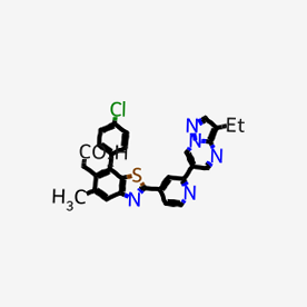 CCc1cnn2cc(-c3cc(-c4nc5cc(C)c(CC(=O)O)c(-c6ccc(Cl)cc6)c5s4)ccn3)cnc12